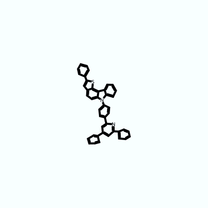 c1ccc(-c2cc(-c3ccccc3)nc(-c3ccc(-n4c5ccccc5c5c6sc(-c7ccccc7)cc6ccc54)cc3)c2)cc1